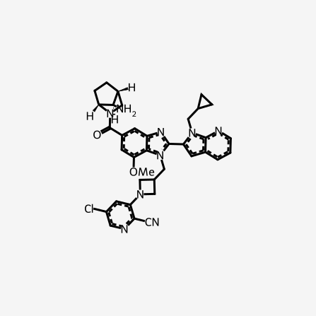 COc1cc(C(=O)N2C[C@H]3CC[C@@H]2[C@@H]3N)cc2nc(-c3cc4cccnc4n3CC3CC3)n(CC3CN(c4cc(Cl)cnc4C#N)C3)c12